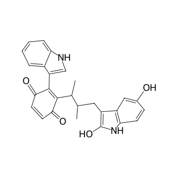 CC(Cc1c(O)[nH]c2ccc(O)cc12)C(C)C1=C(c2c[nH]c3ccccc23)C(=O)C=CC1=O